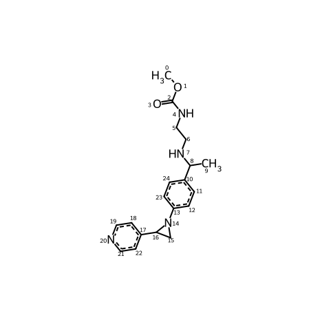 COC(=O)NCCNC(C)c1ccc(N2CC2c2ccncc2)cc1